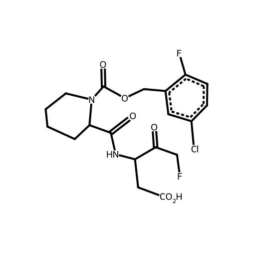 O=C(O)CC(NC(=O)C1CCCCN1C(=O)OCc1cc(Cl)ccc1F)C(=O)CF